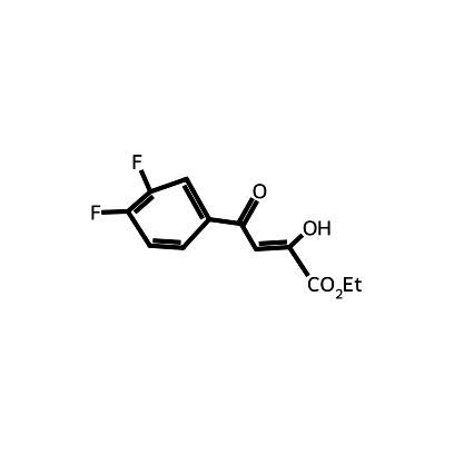 CCOC(=O)C(O)=CC(=O)c1ccc(F)c(F)c1